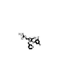 CC(C)c1nc(COC(N)=O)n(Cc2cccnc2)c1Sc1cc(F)cc(F)c1